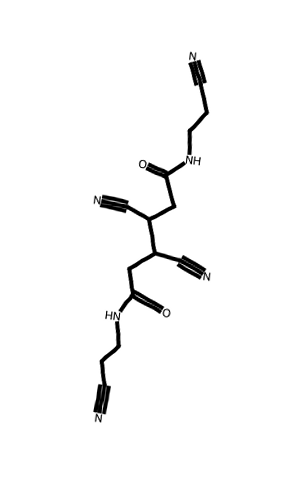 N#CCCNC(=O)CC(C#N)C(C#N)CC(=O)NCCC#N